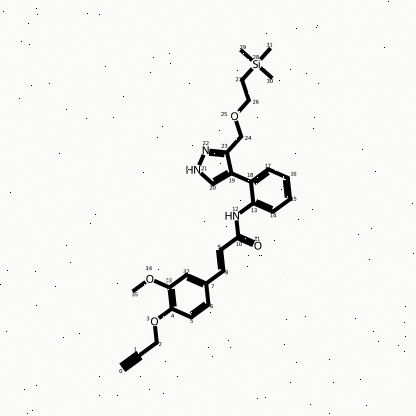 C#CCOc1ccc(/C=C/C(=O)Nc2ccccc2-c2c[nH]nc2COCC[Si](C)(C)C)cc1OC